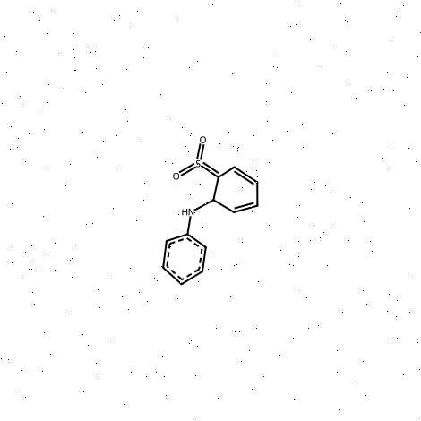 O=S(=O)=C1C=CC=CC1Nc1ccccc1